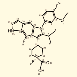 COc1cc(-n2c(C(C)C)c([C@H]3CC[C@](F)(C(=O)O)CC3)c3c(F)c4[nH]ncc4cc32)ccc1F